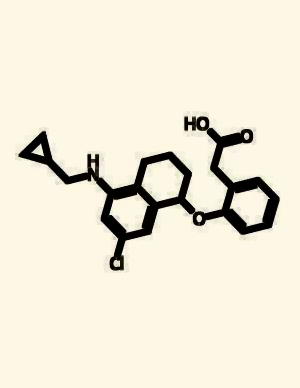 O=C(O)Cc1ccccc1OC1CCCc2c(NCC3CC3)cc(Cl)cc21